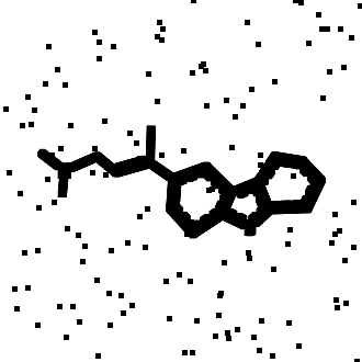 CC(=CCN(C)C)c1ccc2sc3ccccc3c2c1